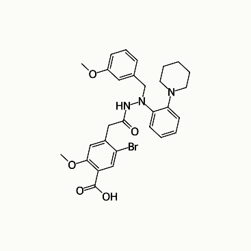 COc1cccc(CN(NC(=O)Cc2cc(OC)c(C(=O)O)cc2Br)c2ccccc2N2CCCCC2)c1